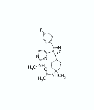 CNc1nccc(-c2c(-c3ccc(F)cc3)ncn2C2CCC(C)(NC(C)=O)CC2)n1